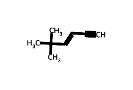 C#CC=CC(C)(C)C